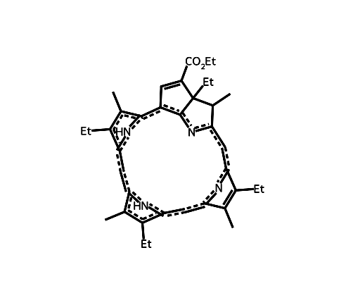 CCOC(=O)C1=Cc2c3nc(cc4nc(cc5[nH]c(cc6[nH]c2c(C)c6CC)c(C)c5CC)C(C)=C4CC)C(C)C13CC